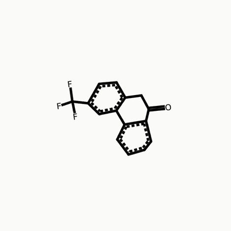 O=C1Cc2ccc(C(F)(F)F)cc2-c2ccccc21